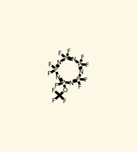 FC(F)(F)OP1(F)=NP(F)(F)=NP(F)(F)=NP(F)(F)=NP(F)(F)=N1